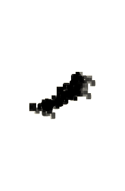 Cc1noc(CN2C(=O)c3c(ncn3CC(=O)Nc3csc(-c4cnc(C)c(C(F)(F)F)c4)n3)N(C)C2O)n1